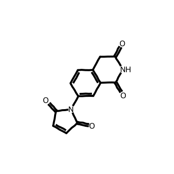 O=C1Cc2ccc(N3C(=O)C=CC3=O)cc2C(=O)N1